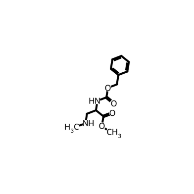 CNCC(NC(=O)OCc1ccccc1)C(=O)OC